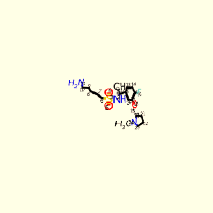 C[C@@H](NS(=O)(=O)CCCCCN)c1ccc(F)c(OC[C@@H]2CCCN2C)c1